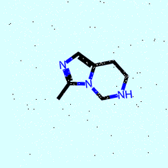 Cc1ncc2n1CNCC2